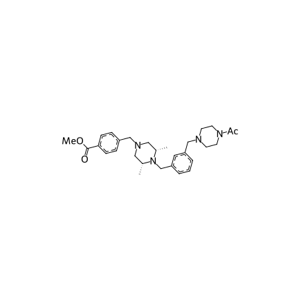 COC(=O)c1ccc(CN2C[C@@H](C)N(Cc3cccc(CN4CCN(C(C)=O)CC4)c3)[C@@H](C)C2)cc1